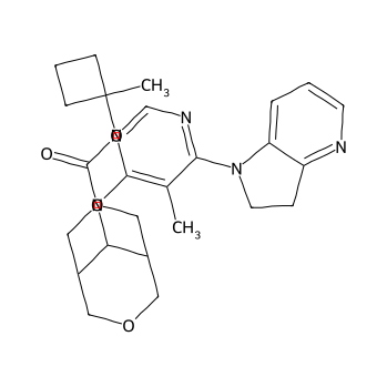 Cc1c(OC2C3COCC2CN(C(=O)OC2(C)CCC2)C3)ncnc1N1CCc2ncccc21